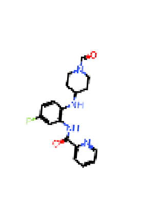 O=CN1CCC(Nc2ccc(F)cc2NC(=O)c2ccccn2)CC1